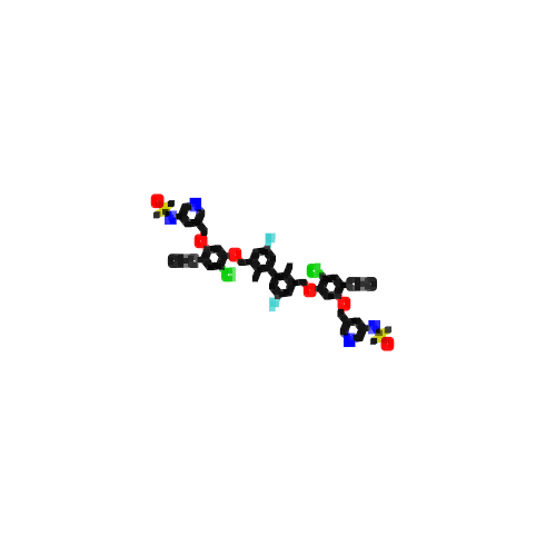 Cc1c(COc2cc(OCc3cncc(N=S(C)(C)=O)c3)c(C=O)cc2Cl)cc(F)cc1-c1cc(F)cc(COc2cc(OCc3cncc(N=S(C)(C)=O)c3)c(C=O)cc2Cl)c1C